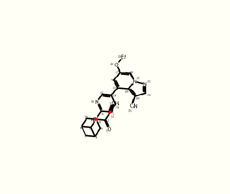 C#CC(=O)NC1C2CC1CN(c1ccc(-c3cc(OCC)cn4ncc(C#N)c34)cn1)C2